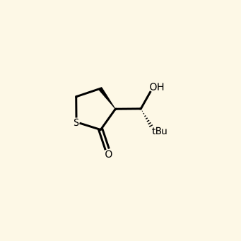 CC(C)(C)[C@@H](O)[C@@H]1CCSC1=O